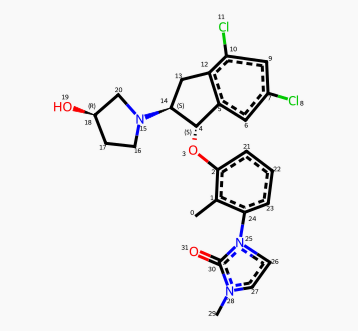 Cc1c(O[C@H]2c3cc(Cl)cc(Cl)c3C[C@@H]2N2CC[C@@H](O)C2)cccc1-n1ccn(C)c1=O